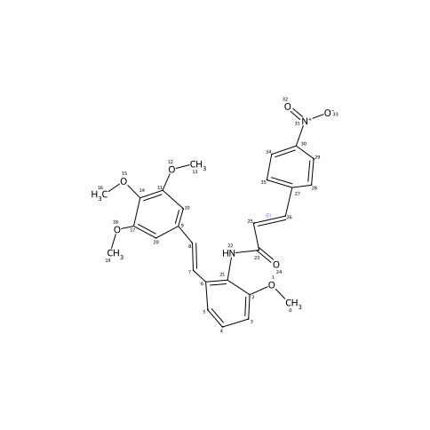 COc1cccc(C=Cc2cc(OC)c(OC)c(OC)c2)c1NC(=O)/C=C/c1ccc([N+](=O)[O-])cc1